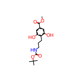 COC(=O)c1cc(O)c(CCCNC(=O)OC(C)(C)C)c(O)c1